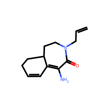 C=CCN1CCC2CCC=CC2=C(N)C1=O